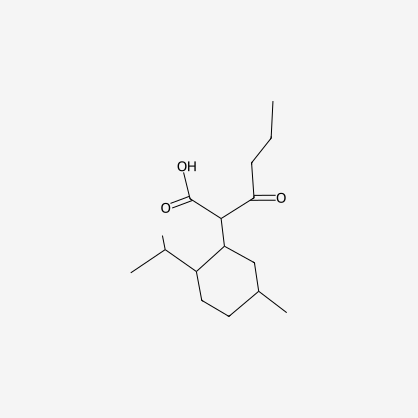 CCCC(=O)C(C(=O)O)C1CC(C)CCC1C(C)C